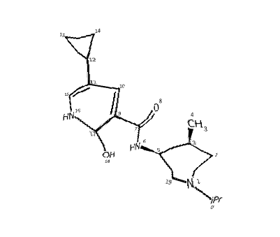 CC(C)N1C[C@H](C)[C@H](NC(=O)C2=CC(C3CC3)=CNC2O)C1